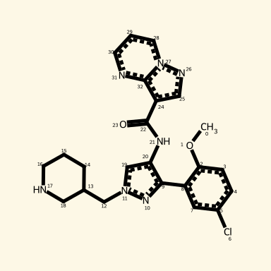 COc1ccc(Cl)cc1-c1nn(CC2CCCNC2)cc1NC(=O)c1cnn2cccnc12